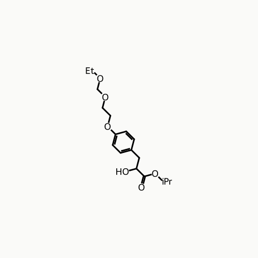 CCOCOCCOc1ccc(CC(O)C(=O)OC(C)C)cc1